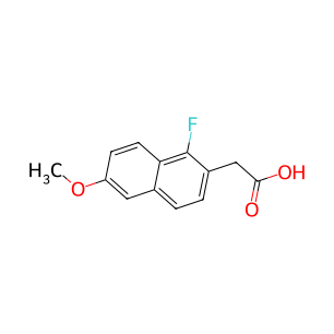 COc1ccc2c(F)c(CC(=O)O)ccc2c1